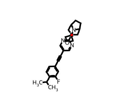 CC(C)c1ccc(C#Cc2cnc(N3CC4CCC(C3)N4C3COC3)nc2)cc1F